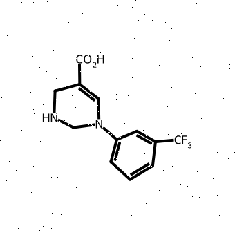 O=C(O)C1=CN(c2cccc(C(F)(F)F)c2)CNC1